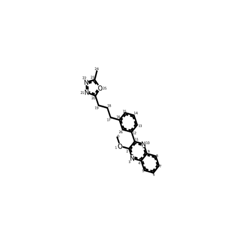 COc1nc2ccccc2nc1-c1cccc(CCCc2nnc(C)o2)c1